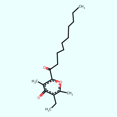 CCCCCCCCCC(=O)c1oc(C)c(CC)c(=O)c1C